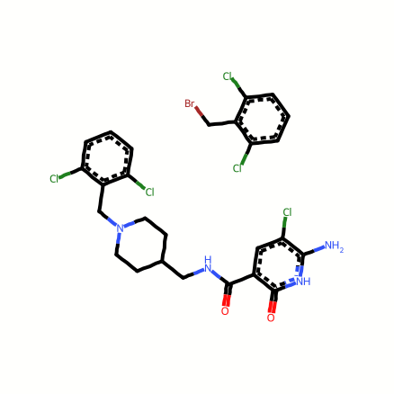 Clc1cccc(Cl)c1CBr.Nc1[nH]c(=O)c(C(=O)NCC2CCN(Cc3c(Cl)cccc3Cl)CC2)cc1Cl